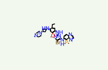 CCc1cc(Nc2ncc(Br)c(Nc3ccc4nccnc4c3P(C)C)n2)c(OC)cc1N[C@H]1C[C@H](N2CCN(C)CC2)C1